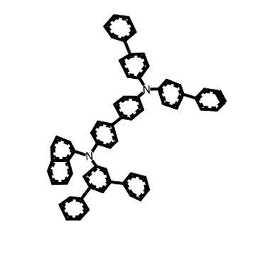 c1ccc(-c2ccc(N(c3ccc(-c4ccccc4)cc3)c3ccc(-c4ccc(N(c5cc(-c6ccccc6)cc(-c6ccccc6)c5)c5cccc6ccccc56)cc4)cc3)cc2)cc#1